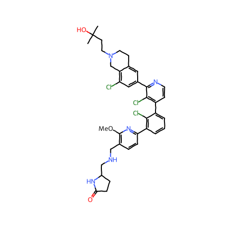 COc1nc(-c2cccc(-c3ccnc(-c4cc(Cl)c5c(c4)CCN(CCC(C)(C)O)C5)c3Cl)c2Cl)ccc1CNCC1CCC(=O)N1